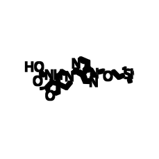 C[C@@H]1OCC2(CCN(c3nccc4c3cnn4COCC[Si](C)(C)C)CC2)[C@@H]1NC(=O)O